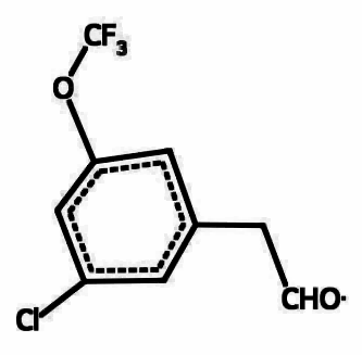 O=[C]Cc1cc(Cl)cc(OC(F)(F)F)c1